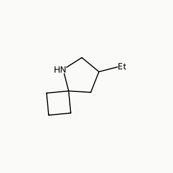 CCC1CNC2(CCC2)C1